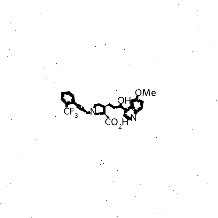 COc1ccc2nccc(C(O)CC[C@@H]3CCN(CC#Cc4ccccc4C(F)(F)F)C[C@@H]3CC(=O)O)c2c1